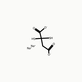 O=C([O-])CC(S)(S)C(=O)[O-].[Na+].[Na+]